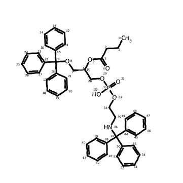 CCCC(=O)O[C@H](COC(c1ccccc1)(c1ccccc1)c1ccccc1)COP(=O)(O)OCCNC(c1ccccc1)(c1ccccc1)c1ccccc1